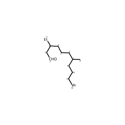 CCC(CC=O)CCCC(C)CCCC(C)C